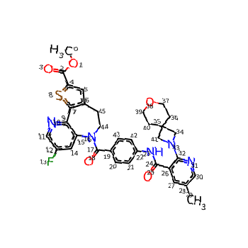 COC(=O)c1cc2c(s1)-c1ncc(F)cc1N(C(=O)c1ccc(NC(=O)c3cc(C)cnc3N3CC4(CCOCC4)C3)cc1)CC2